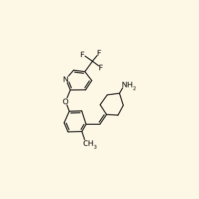 Cc1ccc(Oc2ccc(C(F)(F)F)cn2)cc1C=C1CCC(N)CC1